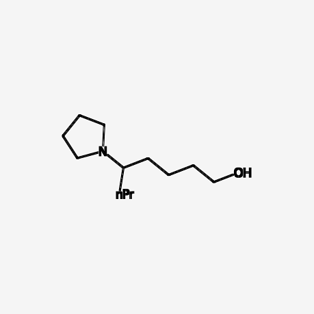 CCCC(CCCCO)N1CCCC1